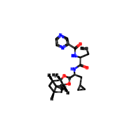 COCC(NC(=O)c1cnccn1)C(=O)NC(CC1CC1)B1O[C@@H]2C[C@@H]3C[C@@H](C3(C)C)[C@]2(C)O1